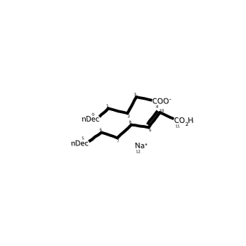 CCCCCCCCCCCCCC(=O)[O-].CCCCCCCCCCCCCC=CC(=O)O.[Na+]